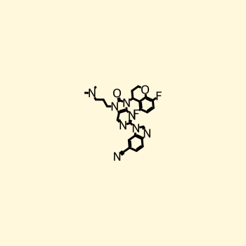 CN(C)CCCn1c(=O)n(C2CCOc3c(F)ccc(F)c32)c2nc(-n3cnc4ccc(C#N)cc43)ncc21